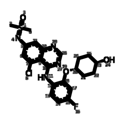 CS(C)(=O)=Nc1cc(Cl)c2c(Nc3ccc(F)cc3O[C@H]3CC[C@H](O)CC3)ncnc2c1